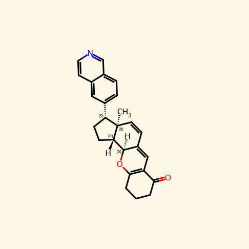 C[C@]12C=CC3=CC4=C(CCCC4=O)O[C@H]3[C@@H]1CC[C@@H]2c1ccc2cnccc2c1